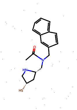 CC(=O)N(Cc1ccc2ccccc2c1)C[C@@H]1C[C@H](S)CN1